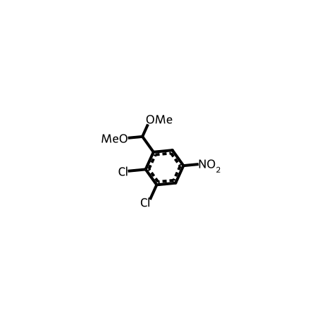 COC(OC)c1cc([N+](=O)[O-])cc(Cl)c1Cl